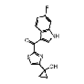 O=C(c1nc(C2(O)CC2)cs1)c1c[nH]c2cc(F)ccc12